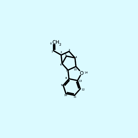 C=CC1CC2CC1C1c3ccccc3OC21